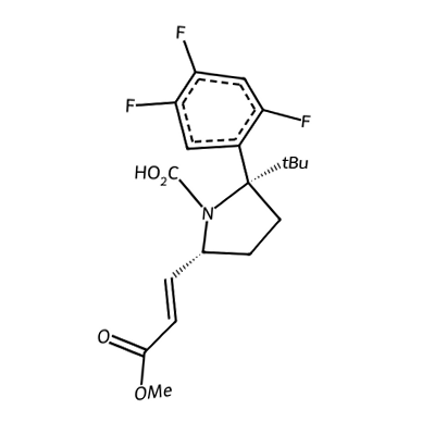 COC(=O)C=C[C@H]1CC[C@@](c2cc(F)c(F)cc2F)(C(C)(C)C)N1C(=O)O